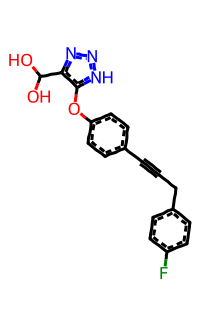 OC(O)c1nn[nH]c1Oc1ccc(C#CCc2ccc(F)cc2)cc1